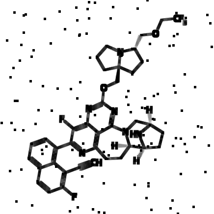 C#Cc1c(F)ccc2cccc(-c3nc4c5c(nc(OC[C@@]67CCCN6[C@H](COCC(F)(F)F)CC7)nc5c3F)N3C[C@H]5CC[C@H](N5)[C@H]3CC4)c12